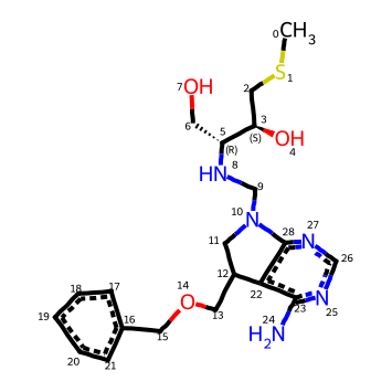 CSC[C@@H](O)[C@@H](CO)NCN1CC(COCc2ccccc2)c2c(N)ncnc21